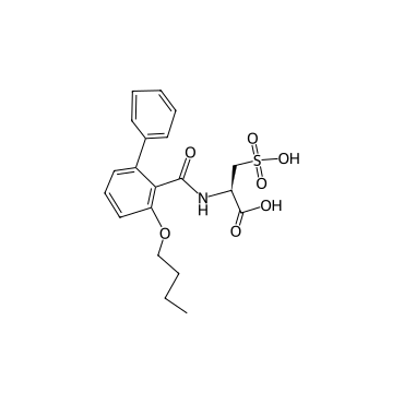 CCCCOc1cccc(-c2ccccc2)c1C(=O)N[C@@H](CS(=O)(=O)O)C(=O)O